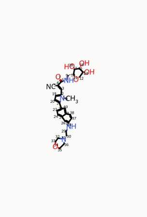 Cn1c(/C=C(\C#N)C(=O)NC[C@H]2OC[C@H](O)[C@@H](O)[C@@H]2O)ccc1-c1ccc2cc(NCCN3CCOCC3)ccc2c1